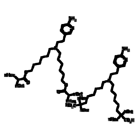 CCCCCCCCC(CCCCCC)(CCCCCCN(CCCCCCC(CCCCCC)(CCCCCCCC)C(=O)O)CCc1ccc(N)nc1)C(=O)O.CCCCCCCCC(CCCCCC)C(=O)OCCCCCCN(CCCCCCOC(=O)C(CCCCCC)CCCCCCCC)CCc1ccc(N)nc1